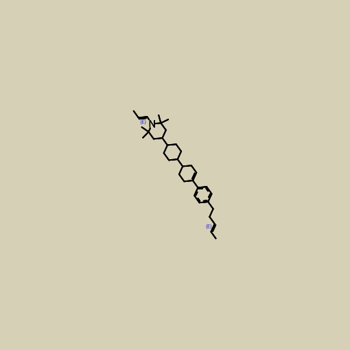 C/C=C/CCc1ccc(C2=CCC(C3CCC(C4CC(C)(C)N(/C=C/C)C(C)(C)C4)CC3)CC2)cc1